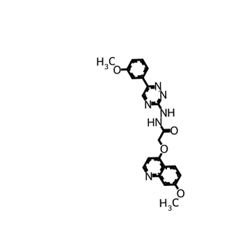 COc1cccc(-c2cnc(NNC(=O)COc3ccnc4cc(OC)ccc34)nn2)c1